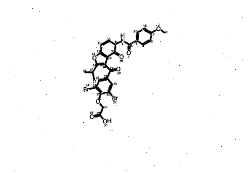 COc1ccc(C(=O)NC2C=Cc3oc(C(C)C)c(C(=O)c4cc(Br)c(OCC(=O)O)c(Br)c4)c3C2=O)cc1